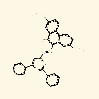 O=S(=O)(O)c1ccc2c(c1)c(O)c(/N=N/c1cc(-c3ccccc3)nc(-c3ccccc3)n1)c1cc(S(=O)(=O)O)ccc12